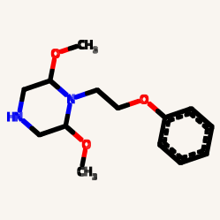 COC1CNCC(OC)N1CCOc1ccccc1